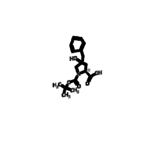 CC(C)(C)OC(=O)N1CC(O)(Cc2ccccc2)C[C@H]1C(=O)O